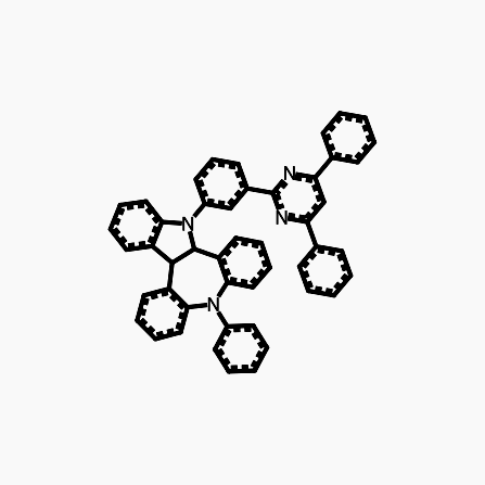 c1ccc(-c2cc(-c3ccccc3)nc(-c3cccc(N4c5ccccc5C5c6ccccc6N(c6ccccc6)c6ccccc6C54)c3)n2)cc1